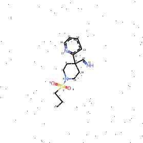 CCCS(=O)(=O)N1CCC(C=N)(c2ccccn2)CC1